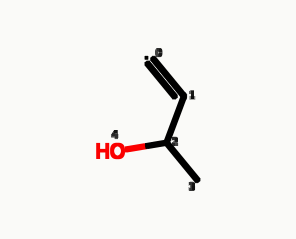 [CH]=CC(C)O